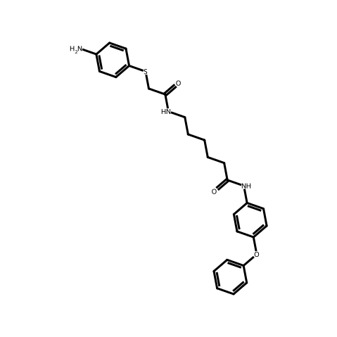 Nc1ccc(SCC(=O)NCCCCCC(=O)Nc2ccc(Oc3ccccc3)cc2)cc1